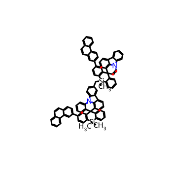 C[Si]1(C)c2ccccc2C2(c3ccccc3-n3c4ccc(C[Si]5(C)c6ccccc6C6(c7ccccc7-n7c8ccccc8c8cccc6c87)c6cc(-c7ccc8c(ccc9ccccc98)c7)ccc65)cc4c4cccc2c43)c2cc(-c3ccc4ccc5ccccc5c4c3)ccc21